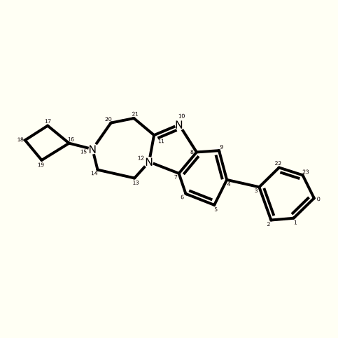 c1ccc(-c2ccc3c(c2)nc2n3CCN(C3CCC3)CC2)cc1